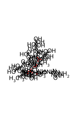 CCCC1O[C@@H]2C[C@H]3[C@@H]4CCC5=CC(=O)C=C[C@]5(C)[C@H]4[C@@H](O)C[C@]3(C)[C@]2(C(=O)COC(=O)OCCSSC[C@@H](C)NC(=O)[C@H](CCC(=O)NC[C@H](O)[C@@H](O)[C@H](O)[C@H](O)CO)NC(=O)[C@H](CCC(=O)O)NC(=O)[C@H](CCC(=O)NC[C@H](O)[C@@H](O)[C@H](O)[C@H](O)CO)NC(=O)[C@H](CCC(=O)O)NC(=O)[C@H](CCC(=O)NC[C@H](O)[C@@H](O)[C@H](O)[C@H](O)CO)NC(=O)CC[C@@H](C)NC(=O)c2ccc(NCc3cnc4nc(N)[nH]c(=O)c4n3)cc2)O1